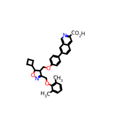 Cc1cccc(C)c1OCC1=NOC(C2CCC2)C1COc1ccc(-c2ccc3cc(C(=O)O)ncc3c2)cc1